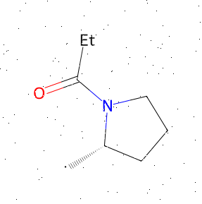 [CH2][C@H]1CCCN1C(=O)CC